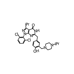 CC(C)c1nn(-c2c(Cl)cccc2Cl)c2nc(Cc3ccc(O)c(CN4CCN(C(C)C)CC4)c3)[nH]c(=O)c12